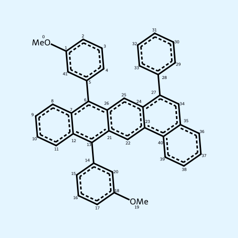 COc1cccc(-c2c3ccccc3c(-c3cccc(OC)c3)c3cc4c(cc23)c(-c2ccccc2)cc2ccccc24)c1